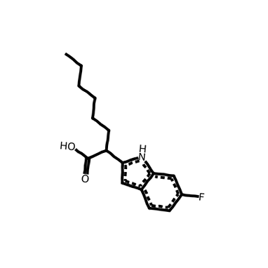 CCCCCCC(C(=O)O)c1cc2ccc(F)cc2[nH]1